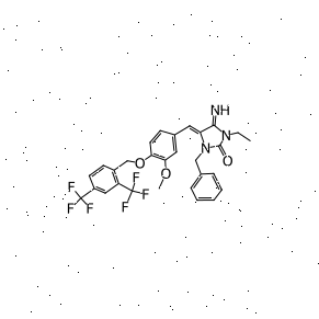 CCN1C(=N)C(=Cc2ccc(OCc3ccc(C(F)(F)F)cc3C(F)(F)F)c(OC)c2)N(Cc2ccccc2)C1=O